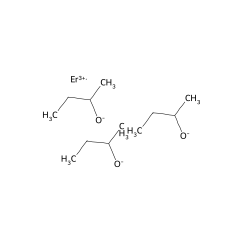 CCC(C)[O-].CCC(C)[O-].CCC(C)[O-].[Er+3]